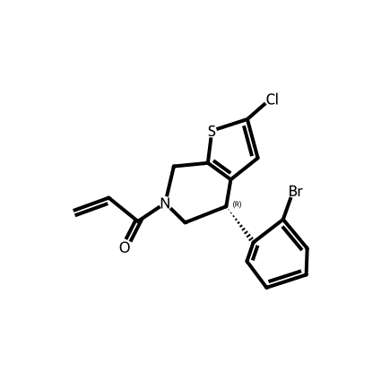 C=CC(=O)N1Cc2sc(Cl)cc2[C@H](c2ccccc2Br)C1